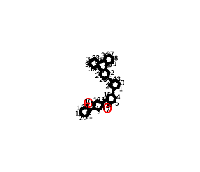 c1cc(-c2ccc3oc4cc5c(cc4c3c2)oc2ccccc25)cc(-c2ccc3c4ccccc4c4ccccc4c3c2)c1